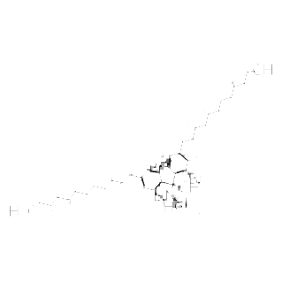 CCCCCCCCCCCCc1cc(Br)c(C(C)(NN)c2c(Br)cc(CCCCCCCCCCCC)cc2Br)c(Br)c1.Cl